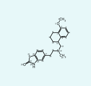 COc1cccc2c1CCCC2CN(C)CCc1ccc2sc(=O)[nH]c2c1